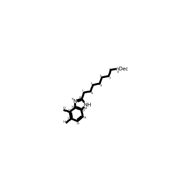 CCCCCCCCCCCCCCCCCc1nc2c(C)c(C)ccc2[nH]1